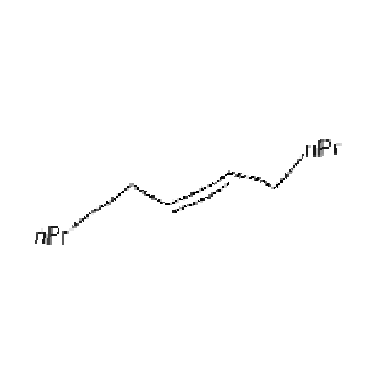 C[CH]CCC=CCCCC